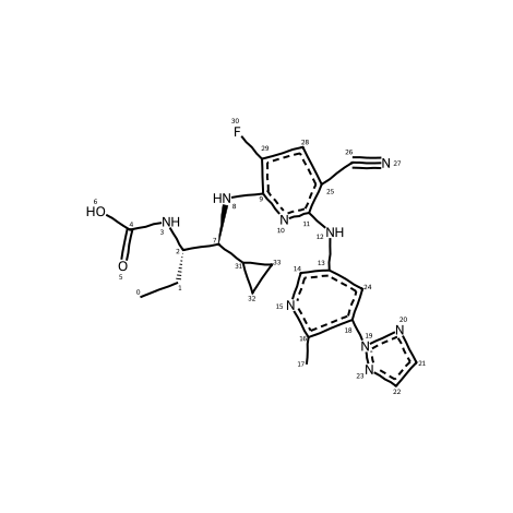 CC[C@H](NC(=O)O)[C@@H](Nc1nc(Nc2cnc(C)c(-n3nccn3)c2)c(C#N)cc1F)C1CC1